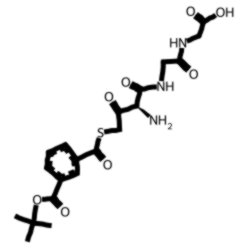 CC(C)(C)OC(=O)c1cccc(C(=O)SCC(=O)[C@H](N)C(=O)NCC(=O)NCC(=O)O)c1